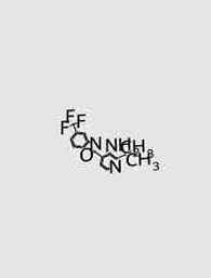 CC(C)c1nccc(-c2nc3cc(C(F)(F)F)ccc3o2)c1N